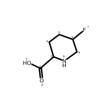 O=C(O)C1CCC(F)CN1